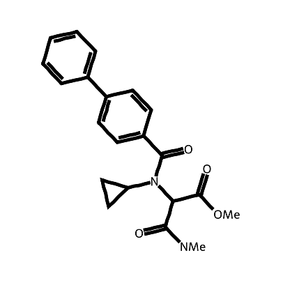 CNC(=O)C(C(=O)OC)N(C(=O)c1ccc(-c2ccccc2)cc1)C1CC1